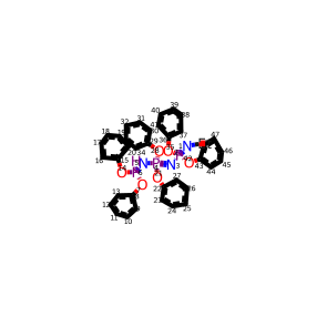 CCN=P(N=P(N=[PH](Oc1ccccc1)Oc1ccccc1)(Oc1ccccc1)Oc1ccccc1)(Oc1ccccc1)Oc1ccccc1